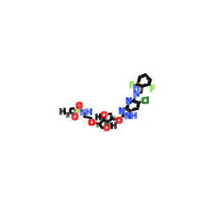 CS(=O)(=O)NCCO[C@@H]1CO[C@H]2[C@@H]1OC[C@H]2Oc1nc2nc(NCc3c(F)cccc3F)c(Cl)cc2[nH]1